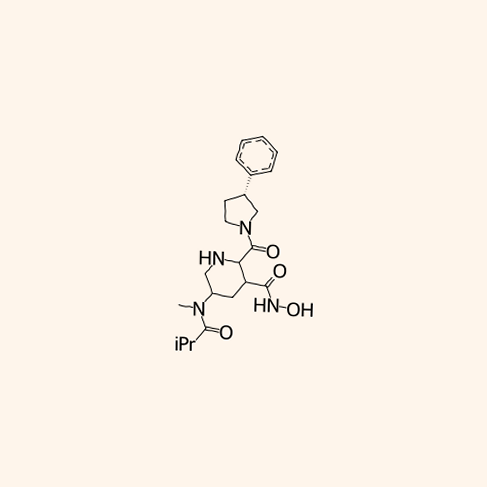 CC(C)C(=O)N(C)C1CNC(C(=O)N2CC[C@H](c3ccccc3)C2)C(C(=O)NO)C1